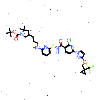 CC(C)(C)OC(=O)N1CC(CCCNc2cccc(SNC(=O)c3ccc(-n4ccc(OCC5(C(F)(F)F)CC5)n4)nc3Cl)n2)CC1(C)C